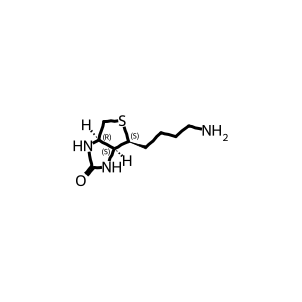 NCCCC[C@@H]1SC[C@@H]2NC(=O)N[C@@H]21